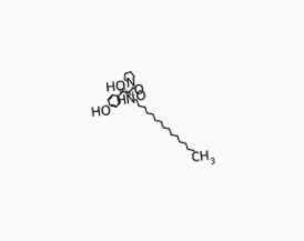 CCCCCCCCCCCCCCCC(=O)N[C@H](C(=O)N1CCCC1)[C@H](O)c1ccc(O)cc1